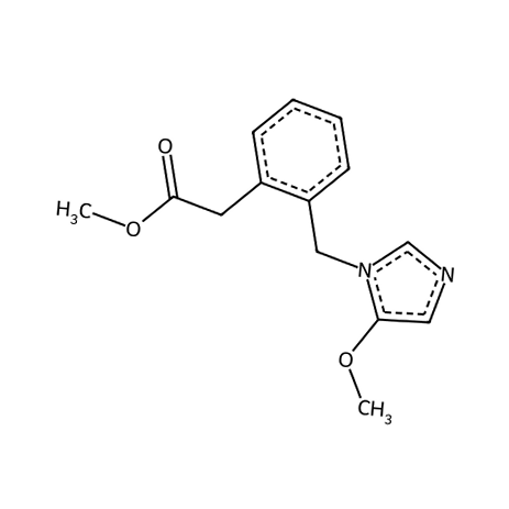 COC(=O)Cc1ccccc1Cn1cncc1OC